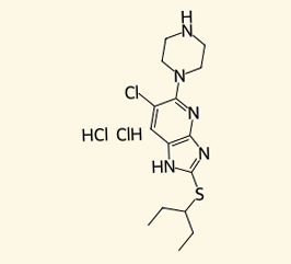 CCC(CC)Sc1nc2nc(N3CCNCC3)c(Cl)cc2[nH]1.Cl.Cl